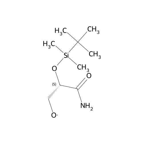 CC(C)(C)[Si](C)(C)O[C@@H](C[O])C(N)=O